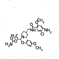 COc1ccc(OC(C(C)OC(N)=O)N2CCC(CNC(=O)c3cc(Cl)c(N)cc3OC)CC2)cc1